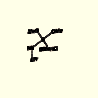 CCCN[Si](OC)(OC)OC.Cl